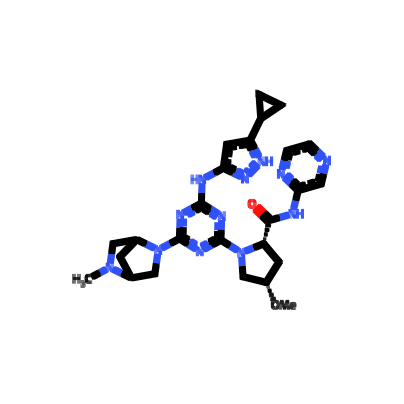 CO[C@H]1C[C@@H](C(=O)Nc2cnccn2)N(c2nc(Nc3cc(C4CC4)[nH]n3)nc(N3CC4CC3CN4C)n2)C1